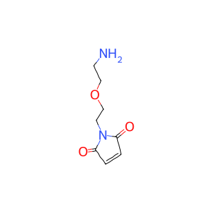 NCCOCCN1C(=O)C=CC1=O